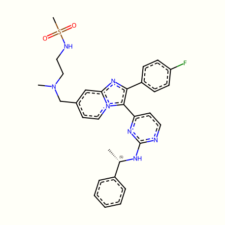 C[C@H](Nc1nccc(-c2c(-c3ccc(F)cc3)nc3cc(CN(C)CCNS(C)(=O)=O)ccn23)n1)c1ccccc1